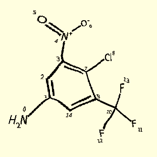 Nc1cc([N+](=O)[O-])c(Cl)c(C(F)(F)F)c1